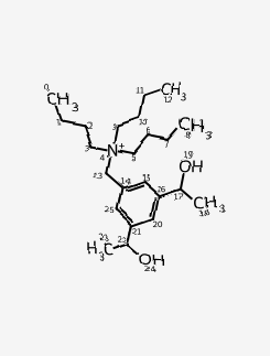 CCCC[N+](CCCC)(CCCC)Cc1cc(C(C)O)cc(C(C)O)c1